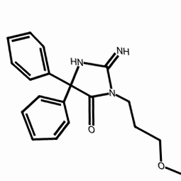 COCCCN1C(=N)NC(c2ccccc2)(c2ccccc2)C1=O